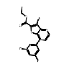 CCOC(=O)c1sc2c(-c3cc(F)cc(F)c3)ccnc2c1Br